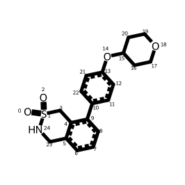 O=S1(=O)Cc2c(cccc2-c2ccc(OC3CCOCC3)cc2)CN1